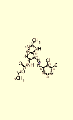 CCOC(=O)Nc1nn2nc(C)[nH]c2c1/N=N/c1ncnc(Cl)c1Cl